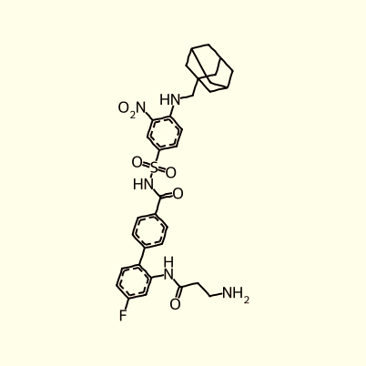 NCCC(=O)Nc1cc(F)ccc1-c1ccc(C(=O)NS(=O)(=O)c2ccc(NCC34CC5CC(CC(C5)C3)C4)c([N+](=O)[O-])c2)cc1